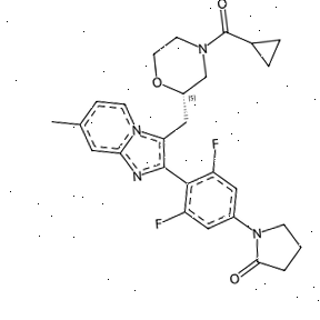 Cc1ccn2c(C[C@H]3CN(C(=O)C4CC4)CCO3)c(-c3c(F)cc(N4CCCC4=O)cc3F)nc2c1